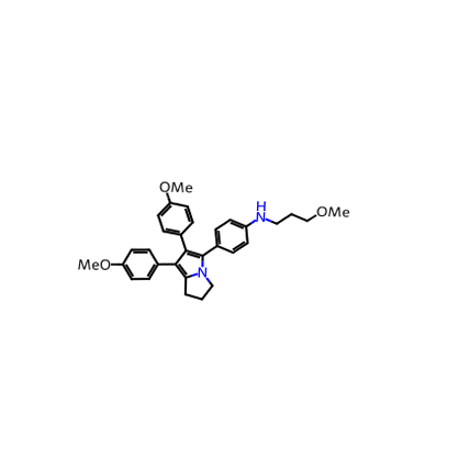 COCCCNc1ccc(-c2c(-c3ccc(OC)cc3)c(-c3ccc(OC)cc3)c3n2CCC3)cc1